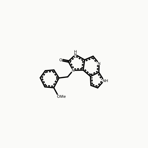 COc1ccccc1Cn1c(=O)[nH]c2cnc3[nH]ccc3c21